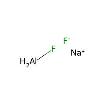 [F-].[F][AlH2].[Na+]